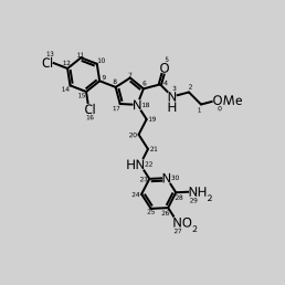 COCCNC(=O)c1cc(-c2ccc(Cl)cc2Cl)cn1CCCNc1ccc([N+](=O)[O-])c(N)n1